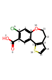 O=C(O)c1cc2c(cc1Cl)OCCc1ccsc1-2